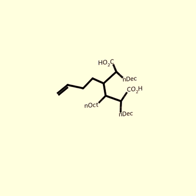 C=CCCC(C(CCCCCCCCCC)C(=O)O)C(CCCCCCCC)C(CCCCCCCCCC)C(=O)O